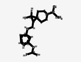 N[S+]([O-])N1CCC2(CC1)C(COc1ccnc(OC(F)F)c1)C2(F)F